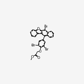 COC(=O)COc1c(Br)cc(-c2c3ccccc3c(Br)c3oc4ccccc4c23)cc1Br